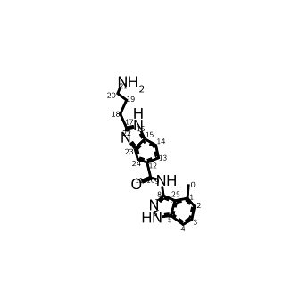 Cc1cccc2[nH]nc(NC(=O)c3ccc4[nH]c(CCCN)nc4c3)c12